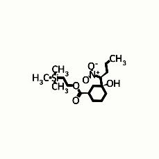 CCC[C@H]([N+](=O)[O-])[C@@]1(O)CCC[C@@H](C(=O)OCC[Si](C)(C)C)C1